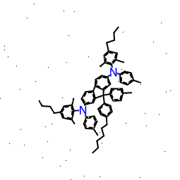 CCCCCCc1ccc(C2(c3ccc(C)cc3)c3cc(N(c4ccc(C)cc4)c4c(C)cc(CCCC)cc4C)ccc3-c3ccc(N(c4ccc(C)cc4)c4c(C)cc(CCCC)cc4C)cc32)cc1